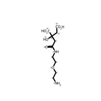 NCCOCCNC(=O)CC(O)(CC(=O)O)C(=O)O